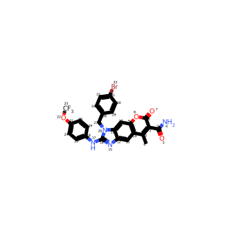 Cc1c(C(N)=O)c(=O)oc2cc3c(cc12)nc(Nc1ccc(OC(F)(F)F)cc1)n3Cc1ccc(Br)cc1